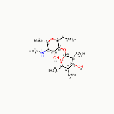 CO[C@@H]1OC(CS(=O)(=O)O)[C@@H](O[C@@H]2OC(C(=O)O)[C@@H](OC)[C@H](O)C2S(=O)(=O)O)[C@H](O)C1NS(=O)(=O)O